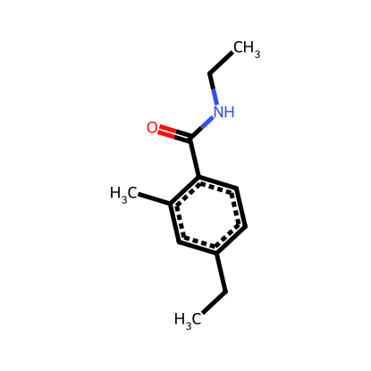 CCNC(=O)c1ccc(CC)cc1C